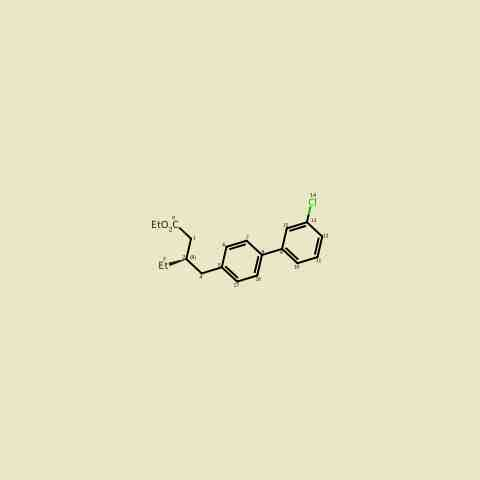 CCOC(=O)C[C@H](CC)Cc1ccc(-c2cccc(Cl)c2)cc1